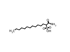 CCCCCCCCCCCCC(C(N)=O)S(=O)(=O)O